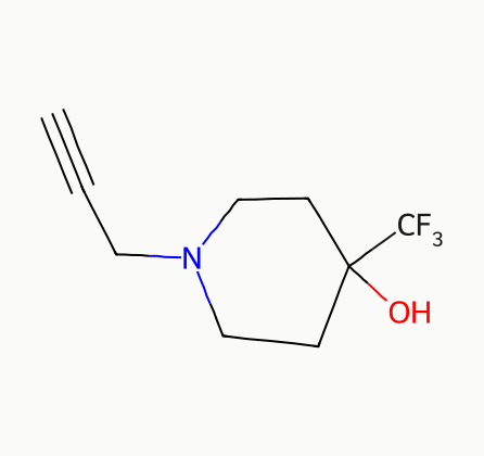 C#CCN1CCC(O)(C(F)(F)F)CC1